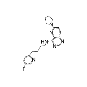 Fc1ccc(CCCCNc2ncnc3ccc(N4CCCC4)nc23)nc1